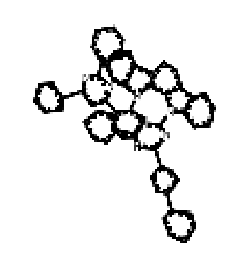 c1ccc(-c2ccc(-c3nc(-c4ccccc4)nc(-n4c5ccccc5c5ccc6c7ccccc7n(-c7ccccc7-c7cc(-c8ccccc8)nc(-c8ccccc8)n7)c6c54)n3)cc2)cc1